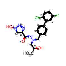 O=C(NN(Cc1ccc(-c2cc(Cl)ccc2Cl)cc1)C[C@@H](O)C(=O)O)C1CN(O)N=N1